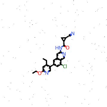 CCOc1cc(CC)c(-c2cc(Cl)c3cnc(NC(=O)C4CC4C#N)cc3c2)cn1